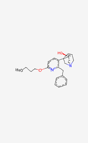 COCCCOc1ccc([C@@]2(O)CN3CCC2CC3)c(Cc2ccccc2)n1